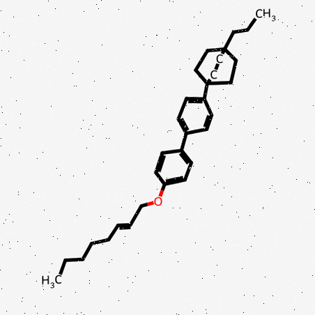 CCCCCC=CCOc1ccc(-c2ccc(C34CCC(CCC)(CC3)CC4)cc2)cc1